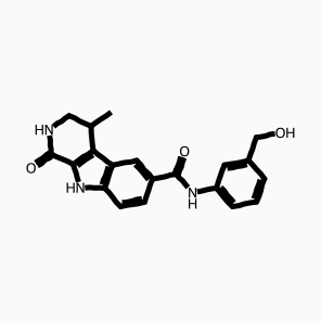 CC1CNC(=O)c2[nH]c3ccc(C(=O)Nc4cccc(CO)c4)cc3c21